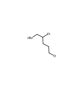 CCCCCC(CC)CCC[O]